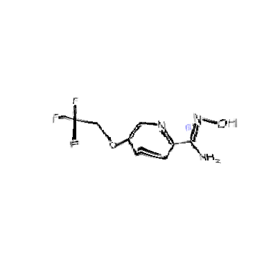 N/C(=N\O)c1ccc(OCC(F)(F)F)cn1